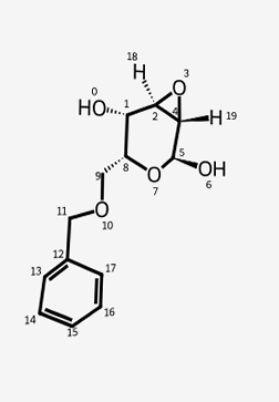 O[C@@H]1[C@H]2O[C@@H]2[C@@H](O)O[C@@H]1COCc1ccccc1